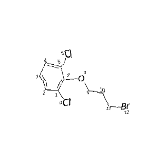 Clc1cccc(Cl)c1OCCCBr